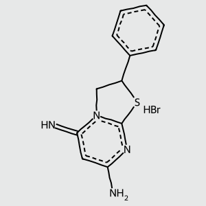 Br.N=c1cc(N)nc2n1CC(c1ccccc1)S2